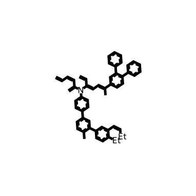 C=C/C=C\C(=C)N(/C(C=C)=C/C=C(\C)c1ccc(-c2ccccc2)c(-c2ccccc2)c1)c1ccc(-c2ccc(C)c(-c3ccc(CC)c(/C=C\CC)c3)c2)cc1